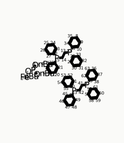 CCCCOP(OCCCC)OCCCC.[Fe].c1ccc(P(CCP(c2ccccc2)c2ccccc2)c2ccccc2)cc1.c1ccc(P(CCP(c2ccccc2)c2ccccc2)c2ccccc2)cc1